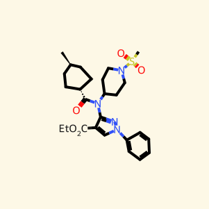 CCOC(=O)c1cn(-c2ccccc2)nc1N(C(=O)[C@H]1CC[C@H](C)CC1)C1CCN(S(C)(=O)=O)CC1